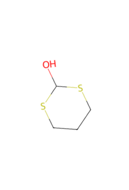 OC1SCCCS1